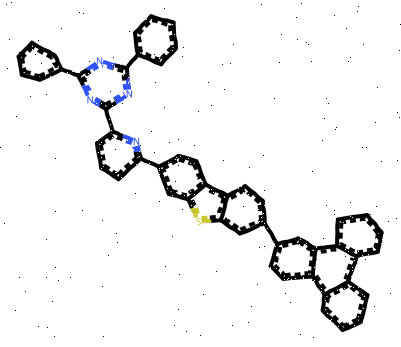 c1ccc(-c2nc(-c3ccccc3)nc(-c3cccc(-c4ccc5c(c4)sc4cc(-c6ccc7c8ccccc8c8ccccc8c7c6)ccc45)n3)n2)cc1